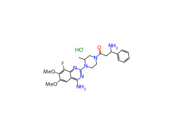 COc1cc2c(N)nc(N3CCN(C(=O)CC(N)c4ccccc4)CC3C)nc2c(F)c1OC.Cl